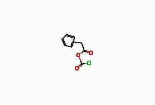 O=C(Cl)OC(=O)Cc1ccccc1